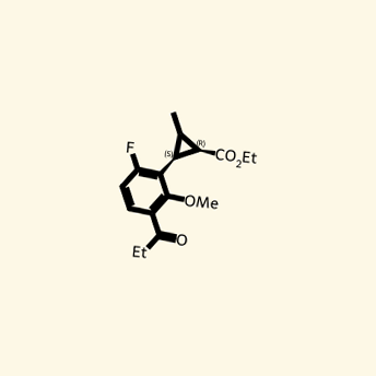 CCOC(=O)[C@@H]1C(C)[C@@H]1c1c(F)ccc(C(=O)CC)c1OC